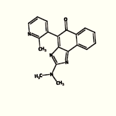 Cc1ncccc1C1=C2N=C(N(C)C)N=C2c2ccccc2C1=O